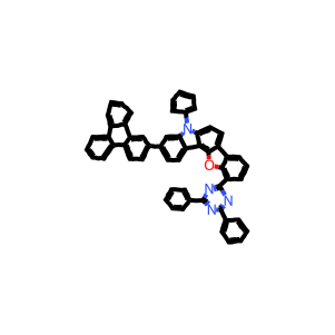 c1ccc(-c2nc(-c3ccccc3)nc(-c3cccc4c3oc3c4ccc4c3c3ccc(-c5ccc6c7ccccc7c7ccccc7c6c5)cc3n4-c3ccccc3)n2)cc1